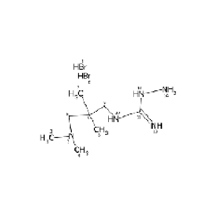 Br.Br.CN(C)CC(C)(C)CNC(=N)NN